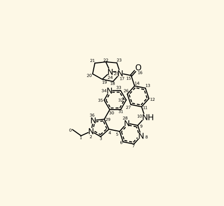 CCn1cc(-c2ccnc(Nc3ccc(C(=O)N4CC5CCC(C4)N5C)cc3)n2)c(-c2cccnc2)n1